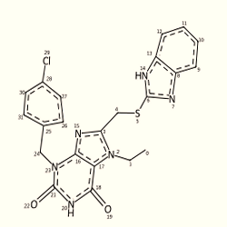 CCn1c(CSc2nc3ccccc3[nH]2)nc2c1c(=O)[nH]c(=O)n2Cc1ccc(Cl)cc1